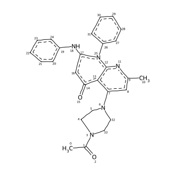 CC(=O)N1CCN(c2cc(C)nc3c2c(=O)cc(Nc2ccccc2)n3-c2ccccc2)CC1